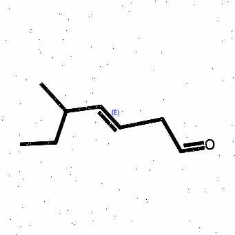 CCC(C)/C=C/CC=O